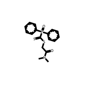 CN(C)C(=O)CSC(=S)P(=O)(c1ccccc1)c1ccccc1